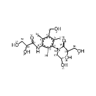 O=C(Nc1c(I)c(CO)c(I)c(N(CCO)C(=O)C(O)CO)c1I)C(O)CO